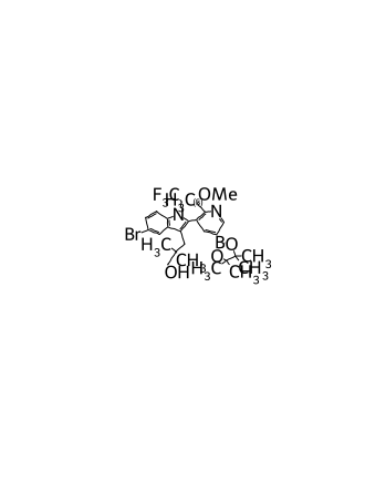 CO[C@@H](C)c1ncc(B2OC(C)(C)C(C)(C)O2)cc1-c1c(CC(C)(C)CO)c2cc(Br)ccc2n1CC(F)(F)F